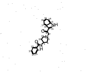 O=C(NC1CCN(CC(=O)c2c[nH]c3ccccc23)CC1)c1ccccc1